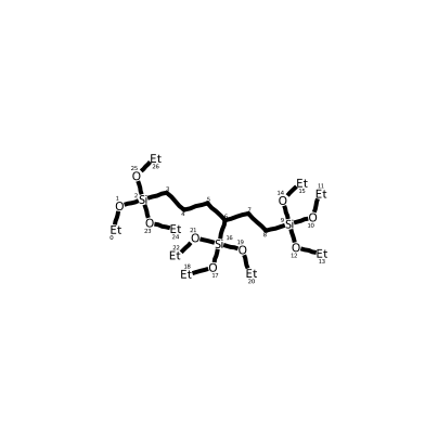 CCO[Si](CCCC(CC[Si](OCC)(OCC)OCC)[Si](OCC)(OCC)OCC)(OCC)OCC